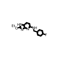 CCOc1nc2nc(NCc3ccc(F)cc3)ccc2[nH]1